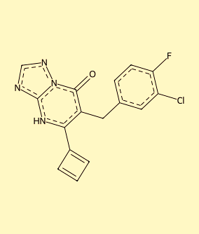 O=c1c(Cc2ccc(F)c(Cl)c2)c(C2=CC=C2)[nH]c2ncnn12